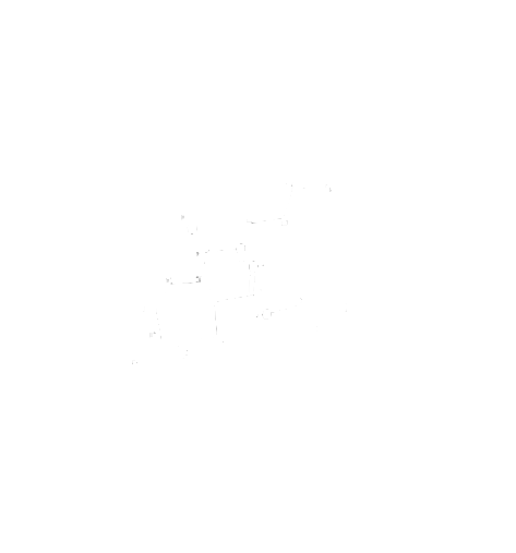 CCCCOC(=O)C1=C(C(=O)OCCCC)CCC(C)C=C1